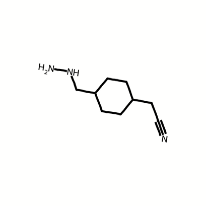 N#CCC1CCC(CNN)CC1